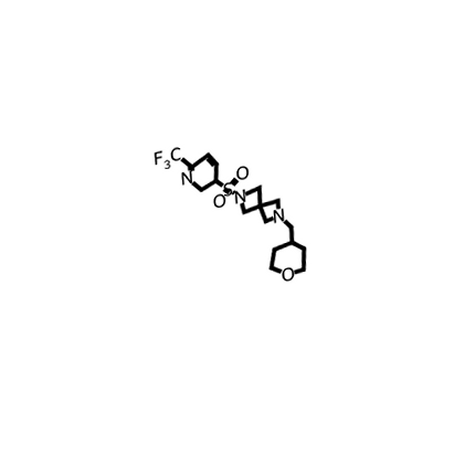 O=S(=O)(C1C=CC(C(F)(F)F)=NC1)N1CC2(CN(CC3CCOCC3)C2)C1